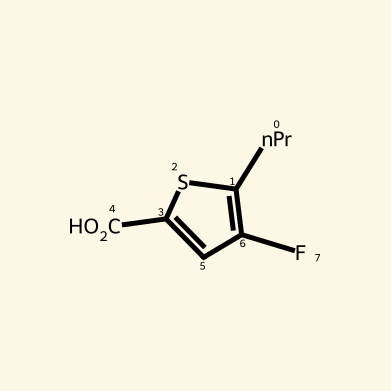 CCCc1sc(C(=O)O)cc1F